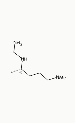 CNCCC[C@H](C)NCN